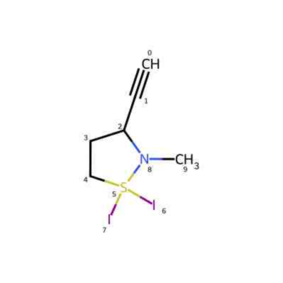 C#CC1CCS(I)(I)N1C